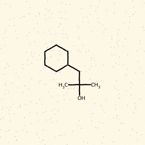 CC(C)(O)[CH]C1CCCCC1